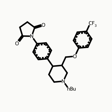 CCCCN1CCC(c2ccc(N3C(=O)CCC3=O)cc2)C(COc2ccc(C(F)(F)F)cc2)C1